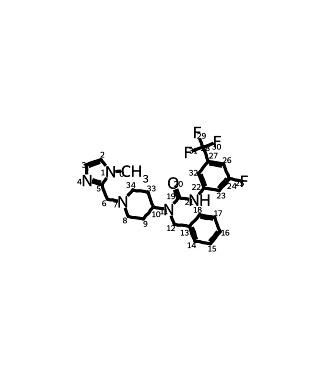 Cn1ccnc1CN1CCC(N(Cc2ccccc2)C(=O)Nc2cc(F)cc(C(F)(F)F)c2)CC1